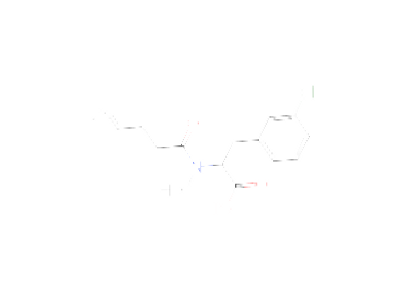 C=CCCC(=O)N(C)C(Cc1cccc(Cl)c1)C(=O)O